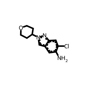 Nc1cc2cn(C3CCOCC3)nc2cc1Cl